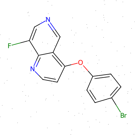 Fc1cncc2c(Oc3ccc(Br)cc3)ccnc12